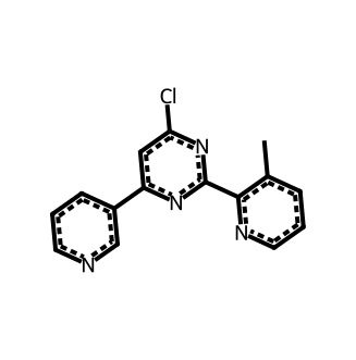 Cc1cccnc1-c1nc(Cl)cc(-c2cccnc2)n1